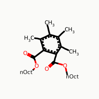 CCCCCCCCOC(=O)c1c(C)c(C)c(C)c(C)c1C(=O)OCCCCCCCC